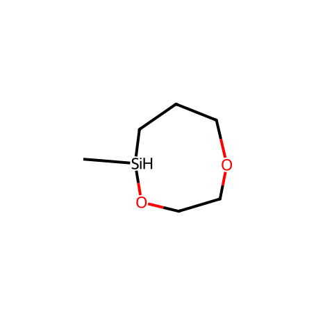 C[SiH]1CCCOCCO1